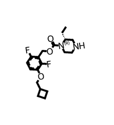 CC[C@@H]1CNCCN1C(=O)OCc1c(F)ccc(OCC2CCC2)c1F